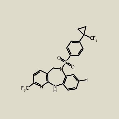 O=S(=O)(c1ccc(C2(C(F)(F)F)CC2)cc1)N1Cc2ccc(C(F)(F)F)nc2Nc2ccc(I)cc21